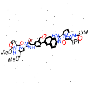 COC[C@H]1C[C@@H](c2nc(Br)c(-c3ccc4c(c3)COc3cc5c(ccc6nc([C@@H]7CC[C@H](C)N7C(=O)[C@@H](NC(=O)OC)C(C)C)[nH]c65)cc3-4)[nH]2)N(C(=O)[C@@H](NC(=O)OC)C(C)C)C1